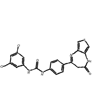 O=C1CC(c2ccc(NC(=O)Nc3cc(Cl)cc(Cl)c3)cc2)=Nc2cscc2N1